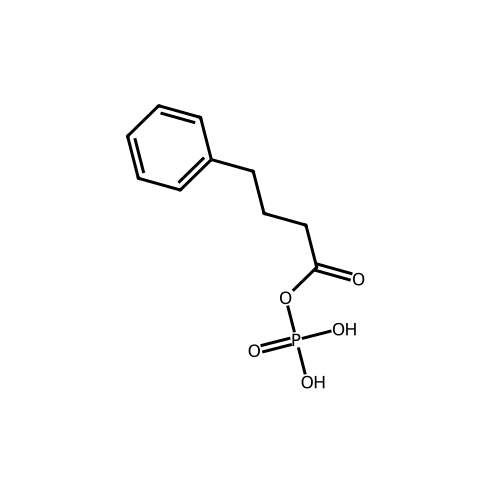 O=C(CCCc1ccccc1)OP(=O)(O)O